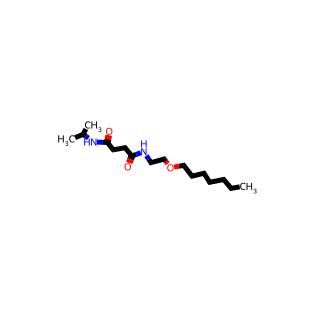 CCCCCCCOCCNC(=O)CCC(=O)NC(C)C